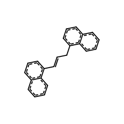 C(=C\c1cccc2ccccc12)/Cc1cccc2ccccc12